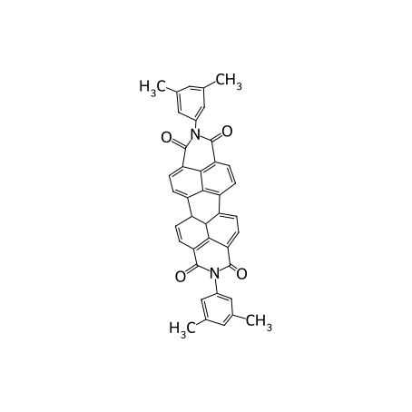 Cc1cc(C)cc(N2C(=O)C3=CC=C4c5ccc6c7c(ccc(c57)C5C=CC(=C3C45)C2=O)C(=O)N(c2cc(C)cc(C)c2)C6=O)c1